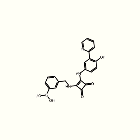 O=c1c(NCc2cccc(B(O)O)c2)c(Nc2ccc(O)c(-c3ccccn3)c2)c1=O